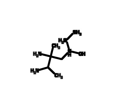 CC(N)C(C)(N)C[SiH](O)[SiH2][SiH3]